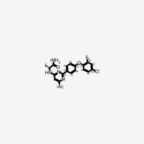 CC(=O)c1cc(N[C@@H](C)C(N)=O)nc(-c2ccc(Oc3ccc(Cl)cc3F)cc2)n1